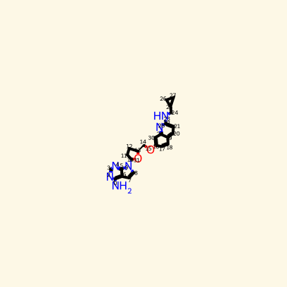 Nc1ncnc2c1ccn2[C@H]1CC[C@@H](COc2ccc3ccc(NCC4CC4)nc3c2)O1